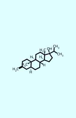 C=C1CC[C@@]2(C)[C@@H](CC[C@@H]3[C@@H]2CC[C@@]2(C)[C@H]3CC[C@@]2(O)C(C)C)C1